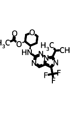 CC(=O)O[C@@H]1COCC[C@H]1Nc1ncc2c(C(F)(F)F)nc(C(C)C)n2n1